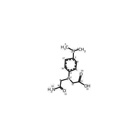 CN(C)c1ccc(N(CC(N)=O)CC(=O)O)cc1